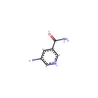 NC(=O)c1cncc(I)c1